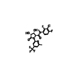 Cc1cc(C(F)(F)F)cc(N2C(=O)[C@H](O)[C@H](O)[C@H]2C(=O)N(C)c2ccc(F)c(Cl)c2F)n1